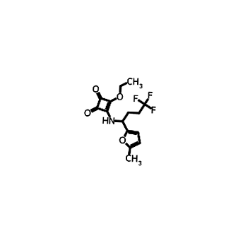 CCOc1c(NC(CCC(F)(F)F)c2ccc(C)o2)c(=O)c1=O